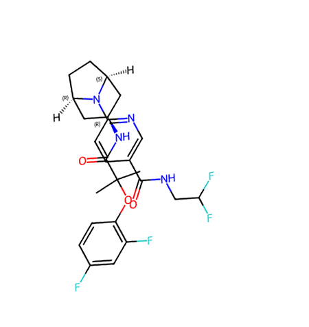 CC(C)(Oc1ccc(F)cc1F)C(=O)N[C@H]1C[C@H]2CC[C@@H](C1)N2c1ccc(C(=O)NCC(F)F)cn1